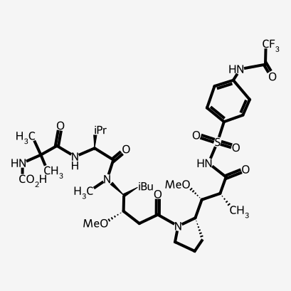 CC[C@H](C)[C@@H]([C@H](CC(=O)N1CCC[C@H]1[C@H](OC)[C@@H](C)C(=O)NS(=O)(=O)c1ccc(NC(=O)C(F)(F)F)cc1)OC)N(C)C(=O)[C@@H](NC(=O)C(C)(C)NC(=O)O)C(C)C